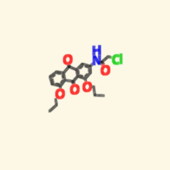 CCCOc1cccc2c1C(=O)c1c(OCCC)cc(NC(=O)CCl)cc1C2=O